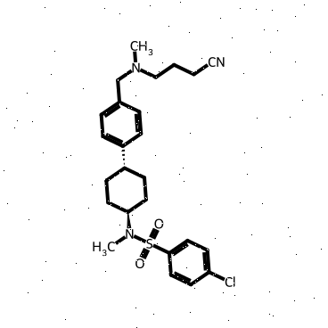 CN(CCCC#N)Cc1ccc([C@H]2CC[C@H](N(C)S(=O)(=O)c3ccc(Cl)cc3)CC2)cc1